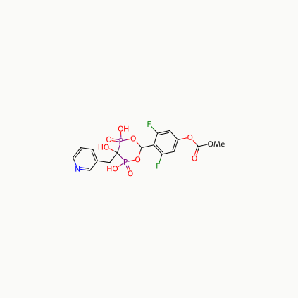 COC(=O)Oc1cc(F)c(C2OP(=O)(O)C(O)(Cc3cccnc3)P(=O)(O)O2)c(F)c1